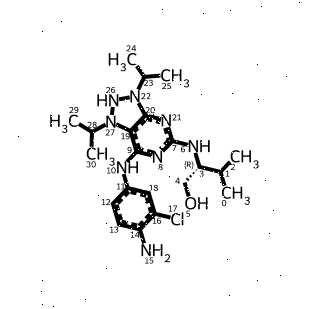 CC(C)[C@H](CO)Nc1nc(Nc2ccc(N)c(Cl)c2)c2c(n1)N(C(C)C)NN2C(C)C